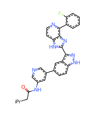 CC(C)CC(=O)Nc1cncc(-c2ccc3[nH]nc(-c4nc5c(-c6ccccc6F)nccc5[nH]4)c3c2)c1